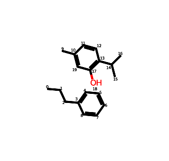 CCCc1ccccc1.Cc1ccc(C(C)C)c(O)c1